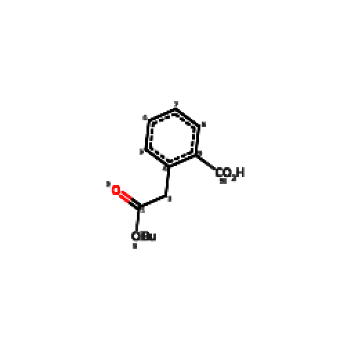 CC(C)COC(=O)Cc1ccccc1C(=O)O